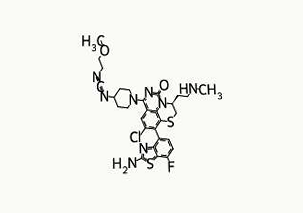 CNCC[C@H]1CSc2c(-c3ccc(F)c4sc(N)nc34)c(Cl)cc3c(N4CCC(N=C=NCCOC)CC4)nc(=O)n1c23